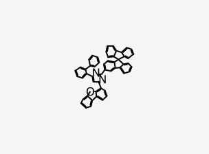 c1ccc(-c2ccccc2-c2cc(-c3cccc4c3oc3ccccc34)nc(-c3ccc4c(c3)-c3ccccc3C43c4ccccc4-c4ccccc43)n2)cc1